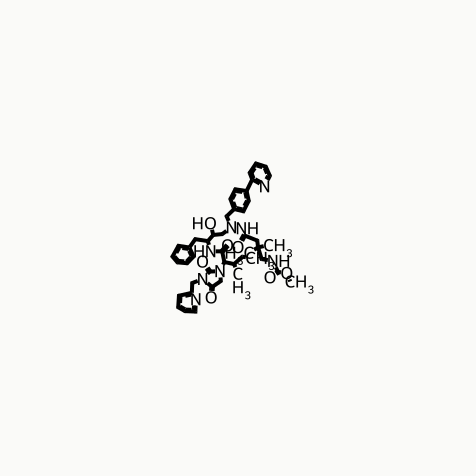 CCC(C)C(C(=O)NC(Cc1ccccc1)C(O)CN(Cc1ccc(-c2ccccn2)cc1)NC(=O)CC(C)(C)CNC(=O)OC)N1CC(=O)N(Cc2ccccn2)C1=O